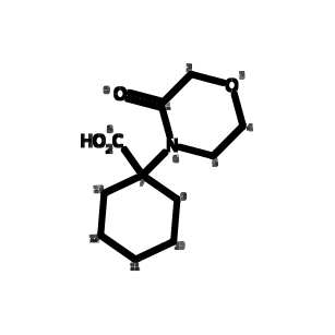 O=C1COCCN1C1(C(=O)O)CCCCC1